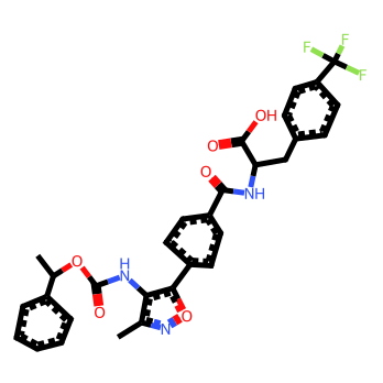 Cc1noc(-c2ccc(C(=O)NC(Cc3ccc(C(F)(F)F)cc3)C(=O)O)cc2)c1NC(=O)OC(C)c1ccccc1